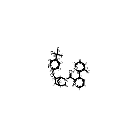 O=C(c1ncccc1-c1ncccc1F)N1CC2CC(Oc3ccc(C(F)(F)F)cn3)C1C2